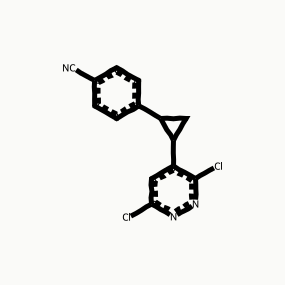 N#Cc1ccc(C2CC2c2cc(Cl)nnc2Cl)cc1